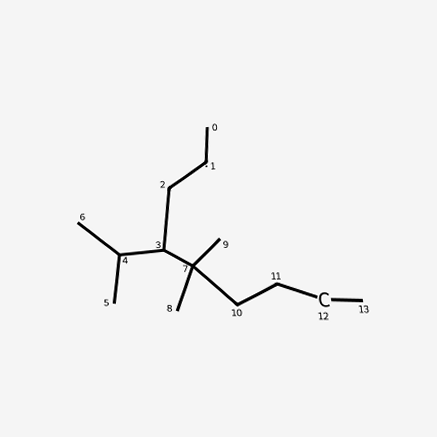 C[CH]CC(C(C)C)C(C)(C)CCCC